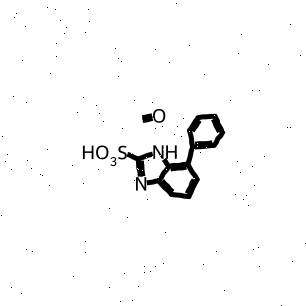 C=O.O=S(=O)(O)c1nc2cccc(-c3ccccc3)c2[nH]1